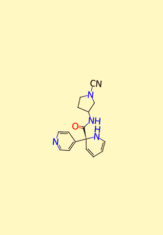 N#CN1CCC(NC(=O)[C@]2(c3ccncc3)C=CC=CN2)C1